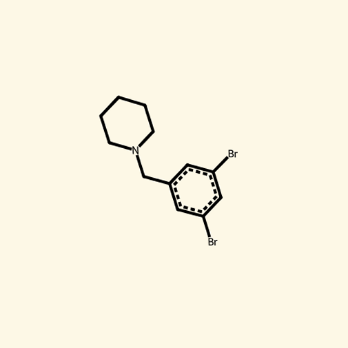 Brc1cc(Br)cc(CN2CCCCC2)c1